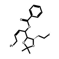 CC(C)C/C=C\C(OC(=O)c1ccccc1)C1OC(C)(C)O[C@H]1CCI